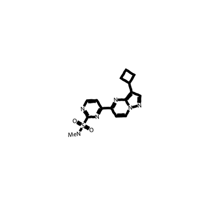 CNS(=O)(=O)c1nccc(-c2ccn3ncc(C4CCC4)c3n2)n1